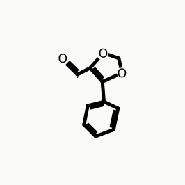 O=[C]C1=C(c2ccccc2)OCO1